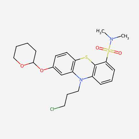 CN(C)S(=O)(=O)c1cccc2c1Sc1ccc(OC3CCCCO3)cc1N2CCCCl